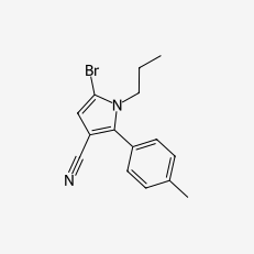 CCCn1c(Br)cc(C#N)c1-c1ccc(C)cc1